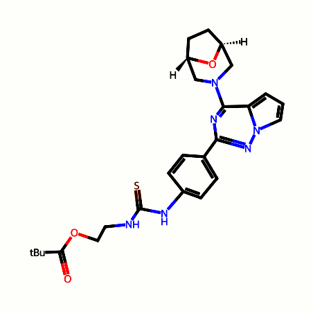 CC(C)(C)C(=O)OCCNC(=S)Nc1ccc(-c2nc(N3C[C@@H]4CC[C@@H](C3)O4)c3cccn3n2)cc1